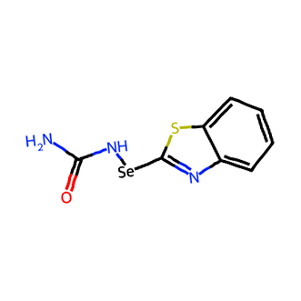 NC(=O)N[Se]c1nc2ccccc2s1